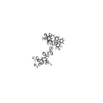 COc1cc(C(=O)OCC(=O)OCC2CN(C(c3ccccc3)(c3ccccc3)c3ccccc3)CC(n3cc(C)c(=O)[nH]c3=O)O2)cc(OC)c1OC